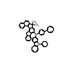 CC1(C)c2cc(N(c3ccc(C4=CC=CCC=C4)cc3)c3ccc4c5c(n(C6=CCCCC6)c4c3)C=CC=CC5)c3c(c2-c2c1ccc1ccccc21)Cc1ccccc1-3